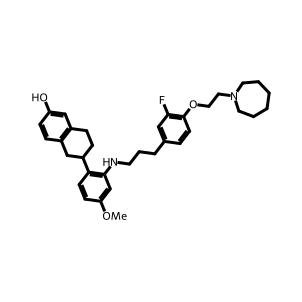 COc1ccc(C2CCc3cc(O)ccc3C2)c(NCCCc2ccc(OCCN3CCCCCC3)c(F)c2)c1